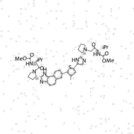 COC(=O)N[C@H](C(=O)CN1CCC[C@H]1c1ncc(-c2cc(C)c(-c3ccc4c(ccc5nc([C@@H]6CCCN6C(=O)[C@@H](NC(=O)OC)C(C)C)[nH]c54)c3)s2)[nH]1)C(C)C